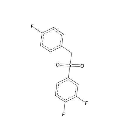 O=S(=O)(Cc1ccc(F)cc1)c1ccc(F)c(F)c1